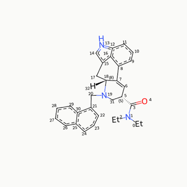 CCN(CC)C(=O)[C@H]1C=C2c3cccc4[nH]cc(c34)C[C@H]2N(Cc2cccc3ccccc23)C1